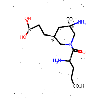 NC(CCC(=O)O)C(=O)N1C[C@@H](CCB(O)O)C[C@](N)(C(=O)O)C1